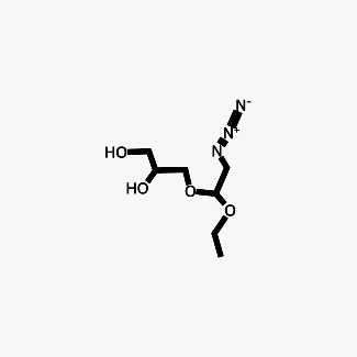 CCOC(CN=[N+]=[N-])OCC(O)CO